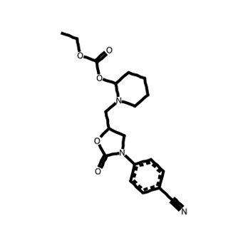 CCOC(=O)OC1CCCCN1CC1CN(c2ccc(C#N)cc2)C(=O)O1